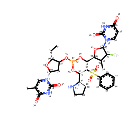 CC[C@H]1O[C@@H](n2cc(C)c(=O)[nH]c2=O)CC1O[P@@](OC[C@H]1O[C@@H](n2ccc(=O)[nH]c2=O)[C@@H](F)C1C)O[C@H](CS(=O)(=O)c1ccccc1)[C@@H]1CCCN1